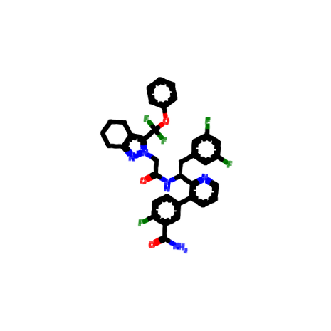 NC(=O)c1cc(-c2cccnc2[C@H](Cc2cc(F)cc(F)c2)NC(=O)Cn2nc3c(c2C(F)(F)Oc2ccccc2)CCCC3)ccc1F